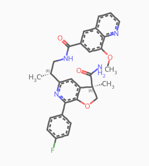 COc1cc(C(=O)NC[C@@H](C)c2cc3c(c(-c4ccc(F)cc4)n2)OC[C@]3(C)C(N)=O)cc2cccnc12